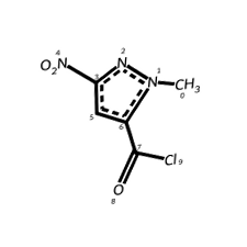 Cn1nc([N+](=O)[O-])cc1C(=O)Cl